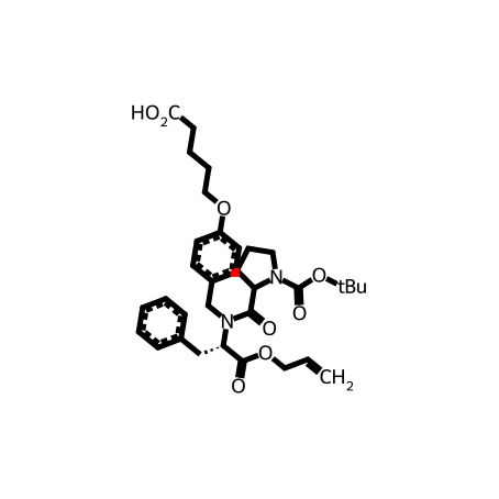 C=CCOC(=O)[C@H](Cc1ccccc1)N(Cc1ccc(OCCCCC(=O)O)cc1)C(=O)C1CCCN1C(=O)OC(C)(C)C